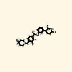 O=C1CCC(c2cccc(NC(=O)c3ccc(CN4CCC(F)(F)CC4)c(F)c3)c2)C(=O)N1